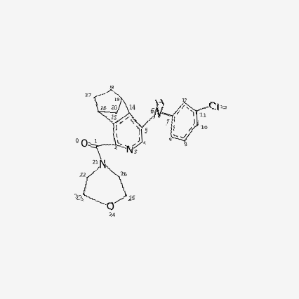 O=C(c1ncc(Nc2cccc(Cl)c2)c2c1C1CCC2C1)N1CCOCC1